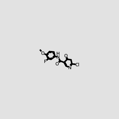 COc1ccc(NC(=O)C2=CN=C(Cl)CC2=O)cc1F